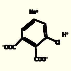 O=C([O-])c1cccc(Cl)c1C(=O)[O-].[H+].[Na+]